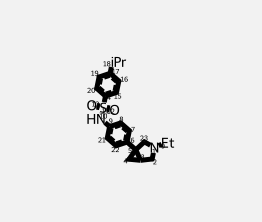 CCN1CC2CC2(c2ccc(NS(=O)(=O)c3ccc(C(C)C)cc3)cc2)C1